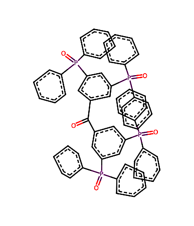 O=C(c1cc(P(=O)(c2ccccc2)c2ccccc2)cc(P(=O)(c2ccccc2)c2ccccc2)c1)c1cc(P(=O)(c2ccccc2)c2ccccc2)cc(P(=O)(c2ccccc2)c2ccccc2)c1